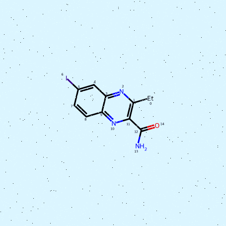 CCc1nc2cc(I)ccc2nc1C(N)=O